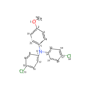 CCOc1ccc(N(c2ccc(Cl)cc2)c2ccc(Cl)cc2)cc1